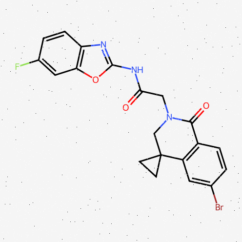 O=C(CN1CC2(CC2)c2cc(Br)ccc2C1=O)Nc1nc2ccc(F)cc2o1